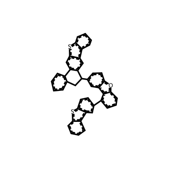 c1ccc2c(c1)CC(c1ccc3oc4cccc(-c5ccc6sc7ccccc7c6c5)c4c3c1)c1cc3c(cc1-2)sc1ccccc13